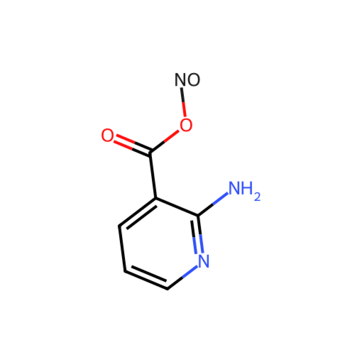 Nc1ncccc1C(=O)ON=O